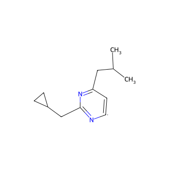 CC(C)Cc1c[c]nc(CC2CC2)n1